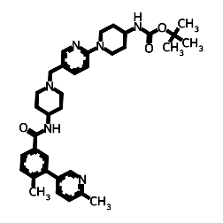 Cc1ccc(-c2cc(C(=O)NC3CCN(Cc4ccc(N5CCC(NC(=O)OC(C)(C)C)CC5)nc4)CC3)ccc2C)cn1